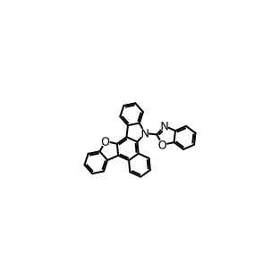 c1ccc2oc(-n3c4ccccc4c4c5oc6ccccc6c5c5ccccc5c43)nc2c1